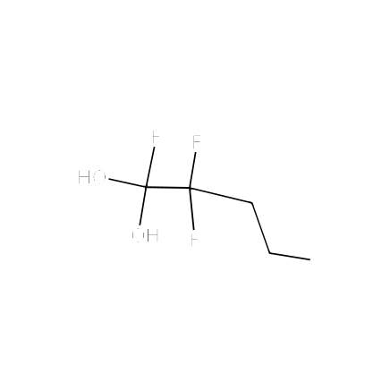 CCCC(F)(F)C(O)(O)F